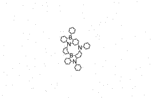 c1ccc(B2c3ccccc3N3c4cccc(c4)B4c5ccccc5N(c5ccccc5)c5ccc(cc54)N(c4ccccc4)c4ccc2c3c4)cc1